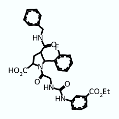 CCOC(=O)c1cccc(NC(=O)NCC(=O)N2C(C(=O)O)CC(C(=O)NCc3ccccc3)C2c2ccccc2F)c1